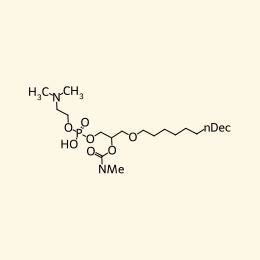 CCCCCCCCCCCCCCCCOCC(COP(=O)(O)OCCN(C)C)OC(=O)NC